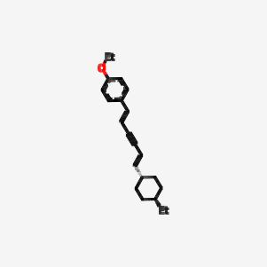 CCOc1ccc(C=CC#CC=C[C@H]2CC[C@H](CC)CC2)cc1